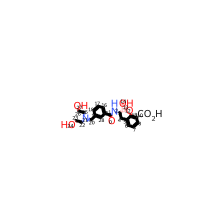 O=C(N[C@H]1Cc2cccc(C(=O)O)c2OB1O)c1cccc(CN(CCO)CCO)c1